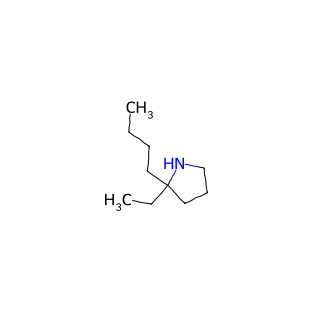 CCCCC1(CC)CCCN1